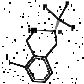 FC(F)(F)[C@@H]1Cc2cccc(I)c2CN1